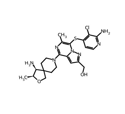 Cc1nc(N2CCC3(CC2)CO[C@@H](C)[C@H]3N)c2cc(CO)nn2c1Sc1ccnc(N)c1Cl